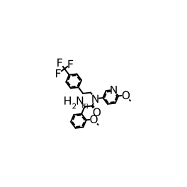 COc1ccc(N(CCc2ccc(C(F)(F)F)cc2)C(=O)[C@@H](N)c2ccccc2OC)cn1